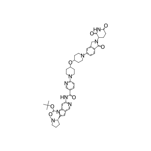 CN1CCC[C@@H]1c1cc2cnc(NC(=O)c3ccc(N4CCC(OC5CCN(c6ccc7c(c6)CN(C6CCC(=O)NC6=O)C7=O)CC5)CC4)nc3)cc2n1C(=O)OC(C)(C)C